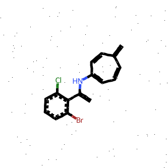 C=C1C=CC=C(NC(=C)c2c(Cl)cccc2Br)C=C1